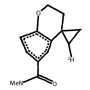 [2H]C1CC12CCOc1ccc(C(=O)NC)cc12